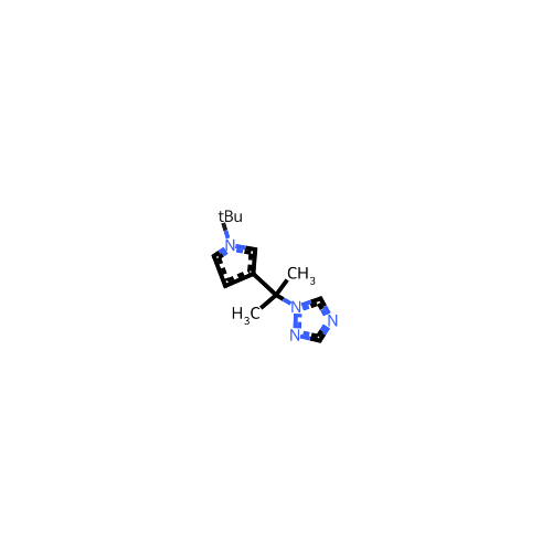 CC(C)(C)n1ccc(C(C)(C)n2cncn2)c1